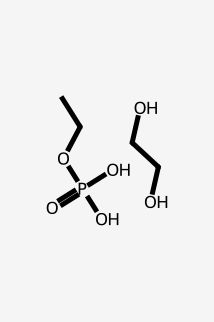 CCOP(=O)(O)O.OCCO